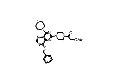 COCC(=O)N1CCN(c2nc(N3CCOCC3)c3ncnc(SCc4ccccc4)c3n2)CC1